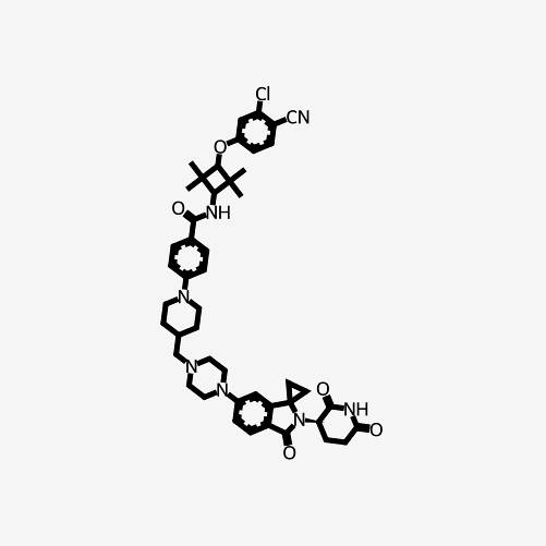 CC1(C)C(NC(=O)c2ccc(N3CCC(CN4CCN(c5ccc6c(c5)C5(CC5)N([C@@H]5CCC(=O)NC5=O)C6=O)CC4)CC3)cc2)C(C)(C)C1Oc1ccc(C#N)c(Cl)c1